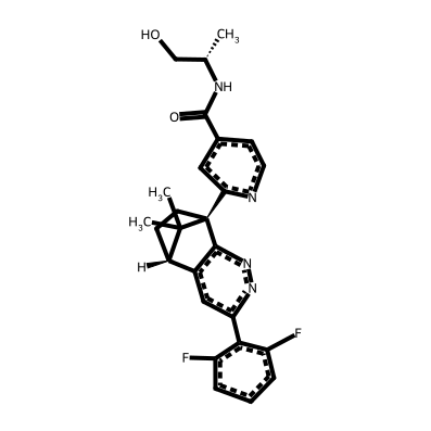 C[C@@H](CO)NC(=O)c1ccnc([C@@]23CC[C@@H](c4cc(-c5c(F)cccc5F)nnc42)C3(C)C)c1